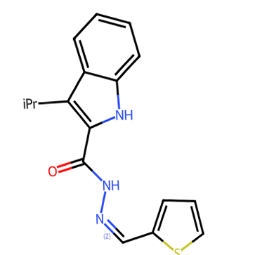 CC(C)c1c(C(=O)N/N=C\c2cccs2)[nH]c2ccccc12